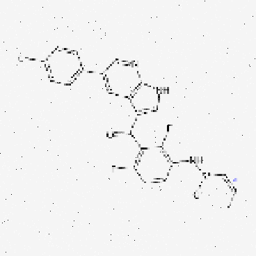 C/C=C\[S+]([O-])Nc1ccc(F)c(C(=O)c2c[nH]c3ncc(-c4ccc(Cl)cc4)cc23)c1F